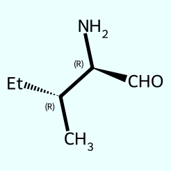 CC[C@@H](C)[C@@H](N)C=O